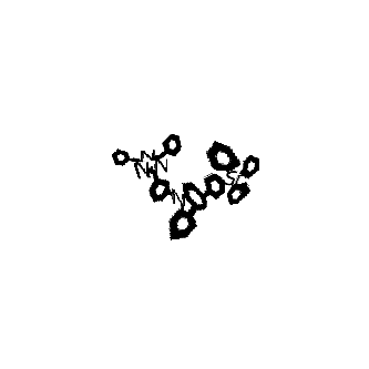 c1ccc(-c2nc(-c3ccccc3)nc(-c3cccc(-n4c5ccccc5c5cc(-c6ccc([Si](c7ccccc7)(c7ccccc7)c7ccccc7)cc6)ccc54)c3)n2)cc1